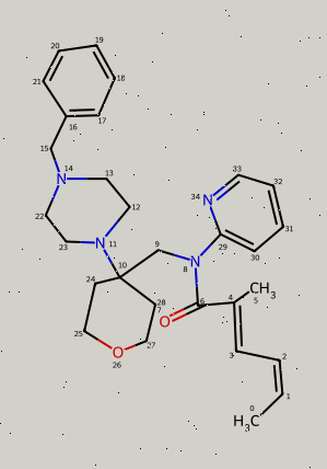 C/C=C\C=C(/C)C(=O)N(CC1(N2CCN(Cc3ccccc3)CC2)CCOCC1)c1ccccn1